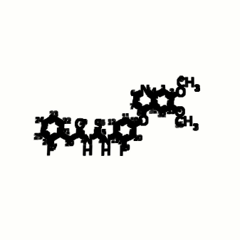 COc1cc2nccc(Oc3ccc(NC(=S)NC(=O)Cc4ccccc4F)c(F)c3)c2cc1OC